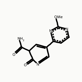 COc1nccc(C2=CC(C(N)=O)C(=O)N=C2)n1